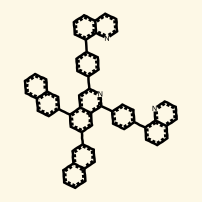 c1ccc2cc(-c3cc(-c4ccc5ccccc5c4)c4cc(-c5ccc(-c6cccc7cccnc67)cc5)nc(-c5ccc(-c6cccc7cccnc67)cc5)c4c3)ccc2c1